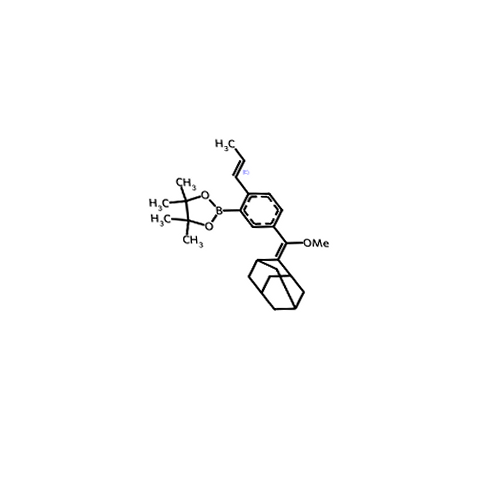 C/C=C/c1ccc(C(OC)=C2C3CC4CC(C3)CC2C4)cc1B1OC(C)(C)C(C)(C)O1